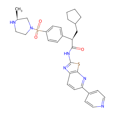 C[C@H]1CN(S(=O)(=O)c2ccc([C@@H](CC3CCCC3)C(=O)Nc3nc4ccc(-c5ccncc5)nc4s3)cc2)CCN1